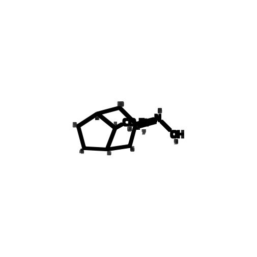 CCOC(=O)C1C2CCC1CC(=NO)C2